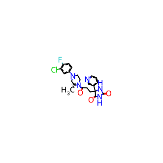 C[C@@H]1CN(c2ccc(F)c(Cl)c2)CCN1C(=O)CCC1(c2cccnc2)NC(=O)NC1=O